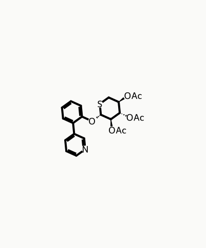 CC(=O)O[C@@H]1[C@@H](OC(C)=O)[C@H](OC(C)=O)CS[C@H]1Oc1ccccc1-c1cccnc1